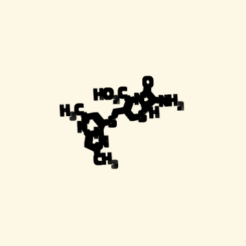 Cc1cc(SCC2=C(C(=O)O)N3C(=O)C(N)[C@H]3SC2)n2nc(C)cc2n1